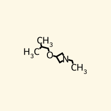 CCN1CC(OCC(C)C)C1